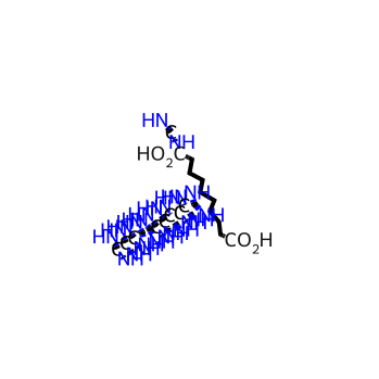 N=C=N.N=C=N.N=C=N.N=C=N.N=C=N.N=C=N.N=C=N.N=C=N.N=C=N.N=C=N.N=C=N.N=C=N.O=C(O)CCCCCCCCC(=O)O